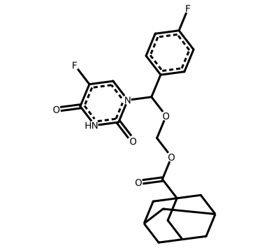 O=C(OCOC(c1ccc(F)cc1)n1cc(F)c(=O)[nH]c1=O)C12CC3CC(CC(C3)C1)C2